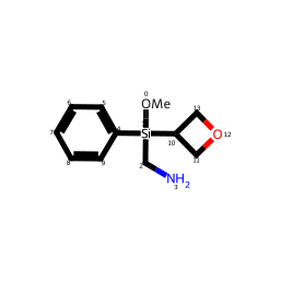 CO[Si](CN)(c1ccccc1)C1COC1